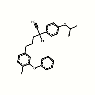 C#CC(CC)(CCCc1ccc(F)c(Oc2ccccc2)c1)c1ccc(OC(F)F)cc1